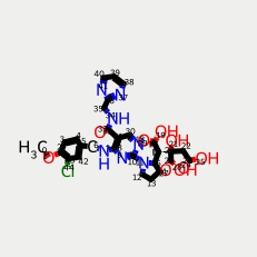 COc1ccc(CNc2nc(N3CCCC3[C@H](C(=O)O)C(O)(CC(=O)O)C(=O)O)ncc2C(=O)NCc2ncccn2)cc1Cl